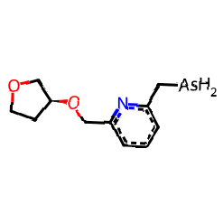 [AsH2]Cc1cccc(CO[C@H]2CCOC2)n1